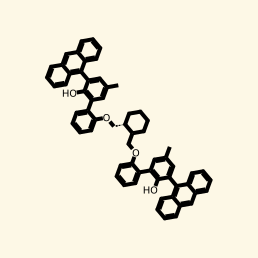 Cc1cc(-c2ccccc2OCC2CCCC[C@H]2COc2ccccc2-c2cc(C)cc(-c3c4ccccc4cc4ccccc34)c2O)c(O)c(-c2c3ccccc3cc3ccccc23)c1